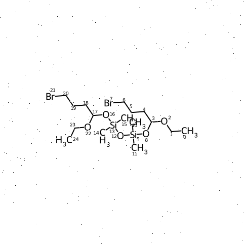 CCOC(CCCBr)O[Si](C)(C)O[Si](C)(C)OC(CCCBr)OCC